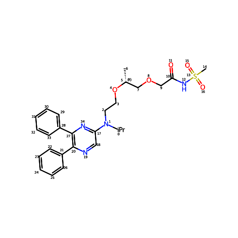 CC(C)N(CCO[C@H](C)COCC(=O)NS(C)(=O)=O)c1cnc(-c2ccccc2)c(-c2ccccc2)n1